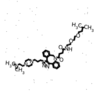 CC(C)CCOCCOCCNC(=O)CCC(=O)N1Cc2ccccc2-c2c(nnn2CCCN2CCN(CCN(C)C)CC2)-c2ccccc21